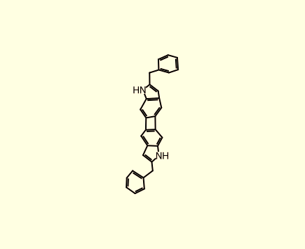 c1ccc(Cc2cc3cc4c(cc3[nH]2)-c2cc3cc(Cc5ccccc5)[nH]c3cc2-4)cc1